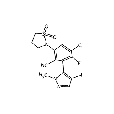 Cn1ncc(I)c1-c1c(F)c(Cl)cc(N2CCCS2(=O)=O)c1C#N